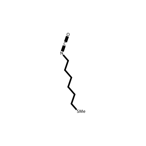 CSCCCCCCN=C=O